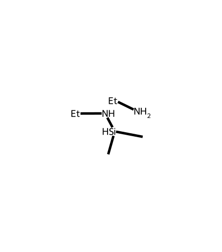 CCN.CCN[SiH](C)C